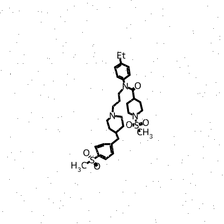 CCc1ccc(N(CCCN2CCC(Cc3ccc(S(C)(=O)=O)cc3)CC2)C(=O)C2CCN(S(C)(=O)=O)CC2)cc1